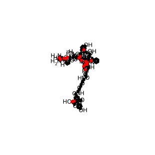 CC(C)C[C@H](NC(=O)[C@@H](CCCn1nnc2c1CC[C@H]1C(CC2)[C@H]1COC(=O)NCCOCCOCCNC(=O)c1ccc2c(c1)C(=O)OC21c2ccc(O)cc2Oc2cc(O)ccc21)NC(=O)[C@H](Cc1ccc(O)cc1)NC(=O)[C@H](CO)NC(=O)[C@H](Cc1c[nH]c2ccccc12)NC(=O)[C@H](Cc1c[nH]cn1)NC(=O)[C@@H]1CCC(=O)N1)C(=O)N[C@@H](CCCNC(=N)N)C(=O)N1CCCC1C(=O)NCC(N)=O